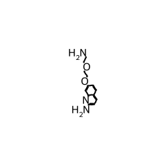 NCCOCCOc1ccc2ccc(N)nc2c1